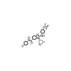 C[C@@H]1C[C@H](n2c(Nc3ccc(OC(F)(F)F)cc3)nc3ccc(C(=O)Nc4ccc(F)cc4)cc32)CC(C)(C)C1